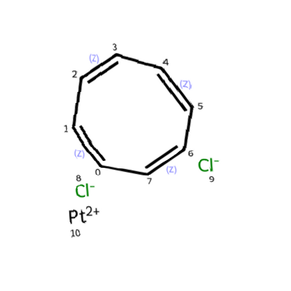 C1=C\C=C/C=C\C=C/1.[Cl-].[Cl-].[Pt+2]